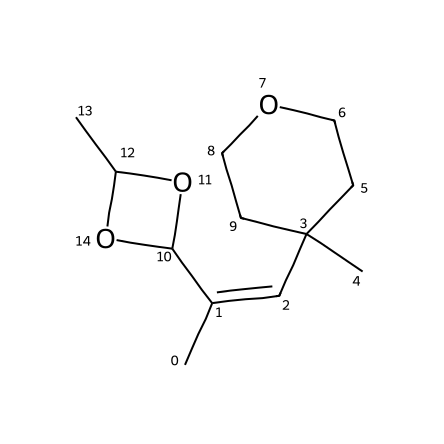 CC(=CC1(C)CCOCC1)C1OC(C)O1